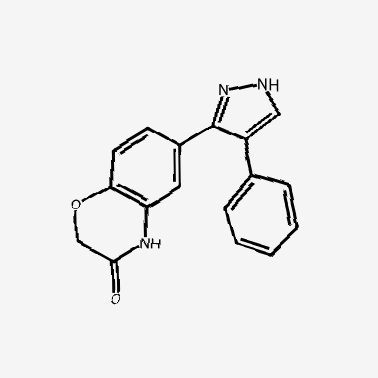 O=C1COc2ccc(-c3n[nH]cc3-c3ccccc3)cc2N1